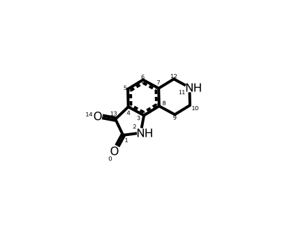 O=C1Nc2c(ccc3c2CCNC3)C1=O